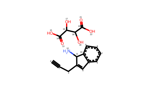 C#CCC1=Cc2ccccc2C1N.O=C(O)C(O)C(O)C(=O)O